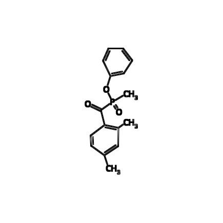 Cc1ccc(C(=O)P(C)(=O)Oc2ccccc2)c(C)c1